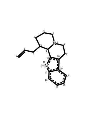 C=CCC1CCCN2CCc3c([nH]c4ccccc34)C12